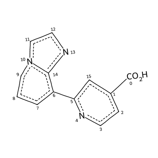 O=C(O)c1ccnc(-c2cccn3ccnc23)c1